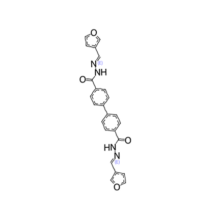 O=C(N/N=C/c1ccoc1)c1ccc(-c2ccc(C(=O)N/N=C/c3ccoc3)cc2)cc1